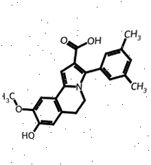 COc1cc2c(cc1O)CCn1c-2cc(C(=O)O)c1-c1cc(C)cc(C)c1